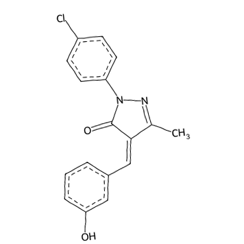 CC1=NN(c2ccc(Cl)cc2)C(=O)C1=Cc1cccc(O)c1